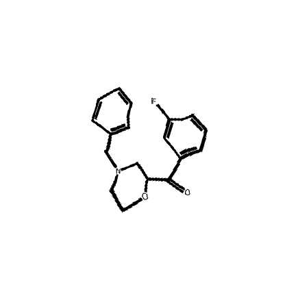 O=C(c1cccc(F)c1)C1CN(Cc2ccccc2)CCO1